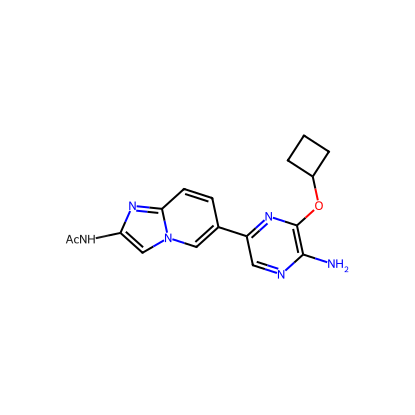 CC(=O)Nc1cn2cc(-c3cnc(N)c(OC4CCC4)n3)ccc2n1